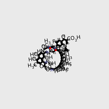 CO[C@H]1/C=C/O[C@@]2(C)Oc3c(C)c(O)c4c(O)c(c(/C=N/N5CCN(c6cc7c(cc6F)c(=O)c(C(=O)O)cn7C6CC6)CC5)c(O)c4c3/C2=N/O)NC(=O)/C(C)=C\C=C\[C@H](C)[C@H](O)[C@@H](C)[C@@H](O)[C@@H](C)[C@H](OC(C)=O)[C@@H]1C